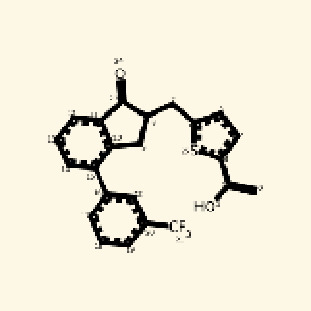 C=C(O)c1ccc(CC2Cc3c(cccc3-c3cccc(C(F)(F)F)c3)C2=O)s1